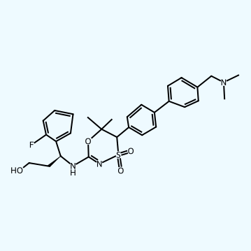 CN(C)Cc1ccc(-c2ccc(C3C(C)(C)OC(N[C@@H](CCO)c4ccccc4F)=NS3(=O)=O)cc2)cc1